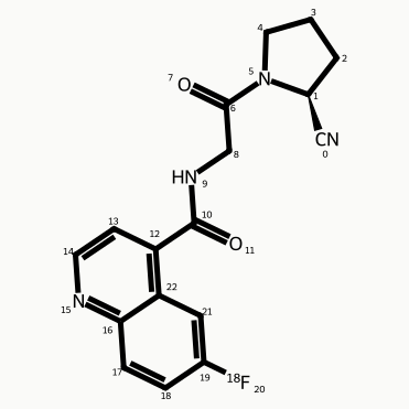 N#C[C@@H]1CCCN1C(=O)CNC(=O)c1ccnc2ccc([18F])cc12